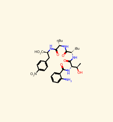 CCCC[C@H](NC(=O)[C@@H](NC(=O)[C@@H](NC(=O)c1ccccc1N)[C@@H](C)O)[C@@H](C)CC)C(=O)N[C@@H](Cc1ccc([N+](=O)[O-])cc1)C(=O)O